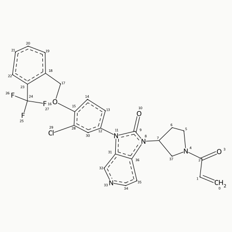 C=CC(=O)N1CCC(n2c(=O)n(-c3ccc(OCc4ccccc4C(F)(F)F)c(Cl)c3)c3cnccc32)C1